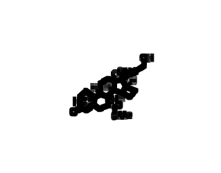 COC(=O)[C@@H]1CC2=CC(=O)CC[C@]2(C)[C@H]2CC[C@@]3(C)[C@@H]([C@@H]4CC[C@@H]4[C@@]3(O)C#CCO)[C@H]12